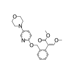 CO/C=C(\C(=O)OC)c1ccccc1COc1ccc(N2CCOCC2)cn1